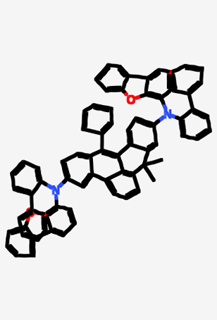 CC1(C)c2cc(N(c3ccccc3-c3ccccc3)c3cccc4c3oc3ccccc34)ccc2-c2c(-c3ccccc3)c3ccc(N(c4ccccc4-c4ccccc4)c4cccc5c4oc4ccccc45)cc3c3cccc1c23